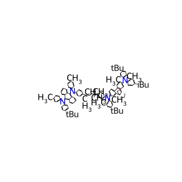 CCC(C)c1ccc(N(c2ccc3c(c2)[C@@]24CCC[C@@]2(CC4)c2cc(N(c4ccc(C(C)(C)CCC(C)(C)c5ccc(N(c6ccc(C)cc6)c6c7ccccc7c(N(c7ccc(C)cc7)c7ccc(C(C)(C)C)cc7)c7ccccc67)cc5)cc4)c4c(C)cc(C(C)(C)C)cc4C)ccc2-3)c2c(C)cc(C(C)(C)C)cc2C)cc1